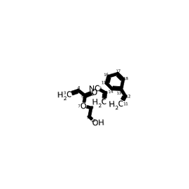 C=CC#N.C=CC(=O)OCCO.C=Cc1ccccc1